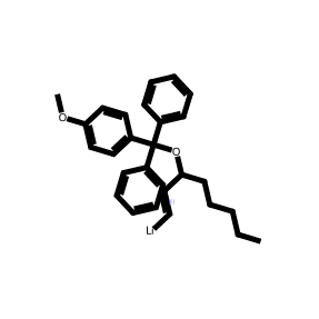 [Li]/[CH]=C/C(CCCCC)OC(c1ccccc1)(c1ccccc1)c1ccc(OC)cc1